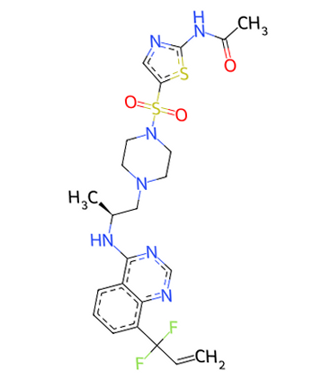 C=CC(F)(F)c1cccc2c(N[C@@H](C)CN3CCN(S(=O)(=O)c4cnc(NC(C)=O)s4)CC3)ncnc12